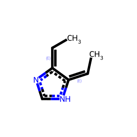 C/C=c1/nc[nH]/c1=C/C